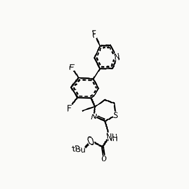 CC(C)(C)OC(=O)NC1=NC(C)(c2cc(-c3cncc(F)c3)c(F)cc2F)CCS1